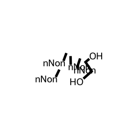 CCCCCCCCCC.CCCCCCCCCC.CCCCCCCCCC.CCCCCCCCCC.OCCO